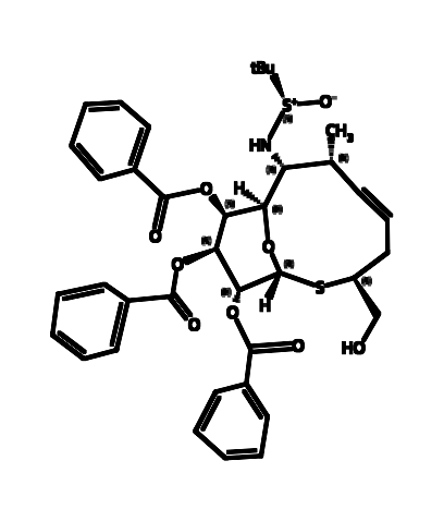 C[C@@H]1C=CC[C@@H](CO)S[C@H]2O[C@H]([C@@H]1N[S@+]([O-])C(C)(C)C)[C@H](OC(=O)c1ccccc1)[C@H](OC(=O)c1ccccc1)[C@H]2OC(=O)c1ccccc1